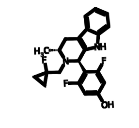 C[C@@H]1Cc2c([nH]c3ccccc23)[C@@H](c2c(F)cc(O)cc2F)N1CC1(F)CC1